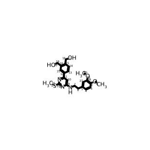 COc1ccc(CCNc2cc(-c3ccc(CO)c(CO)c3)nc(SC)n2)cc1OC